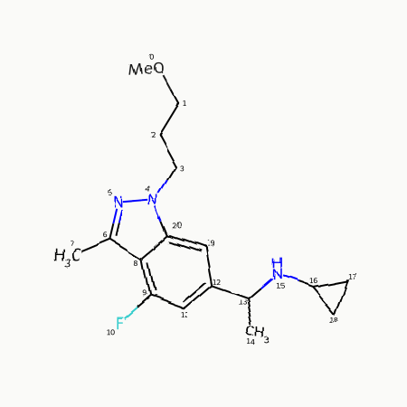 COCCCn1nc(C)c2c(F)cc(C(C)NC3CC3)cc21